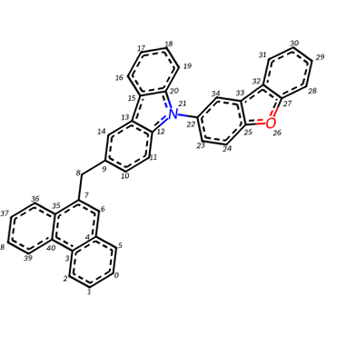 c1ccc2c(c1)cc(Cc1ccc3c(c1)c1ccccc1n3-c1ccc3oc4ccccc4c3c1)c1ccccc12